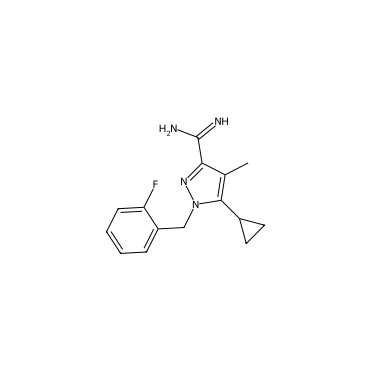 Cc1c(C(=N)N)nn(Cc2ccccc2F)c1C1CC1